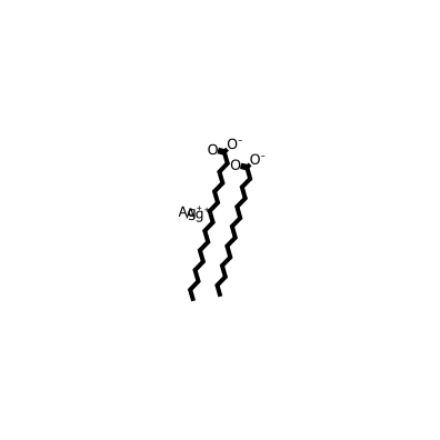 CCCCCCCCCCCCCC(=O)[O-].CCCCCCCCCCCCCCCC(=O)[O-].[Ag+].[Ag+]